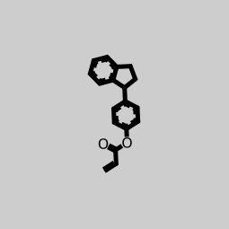 C=CC(=O)Oc1ccc(C2CCc3ccccc32)cc1